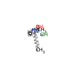 CCCCCCCCCCCc1nc(C(C)O)cn1Cc1ccccc1.Cl